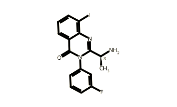 C[C@H](N)c1nc2c(I)cccc2c(=O)n1-c1cccc(F)c1